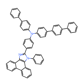 c1ccc(-c2ccc(-c3ccc(N(c4ccc(-c5ccccc5)cc4)c4ccc(-c5nc6c7ccccc7c7ccccc7c6n5-c5ccccc5)cc4)cc3)cc2)cc1